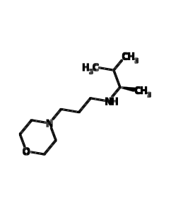 CC(C)[C@@H](C)NCCCN1CCOCC1